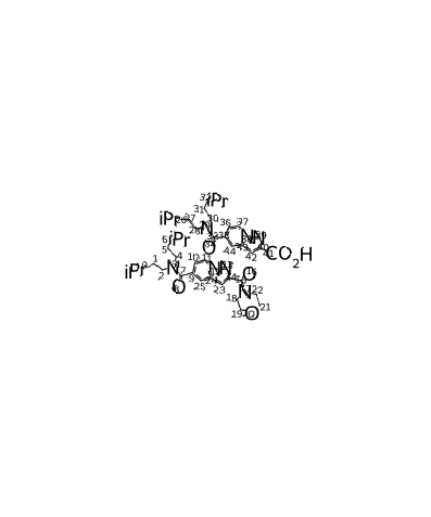 CC(C)CCN(CCC(C)C)C(=O)c1ccn2nc(C(=O)N3CCOCC3)cc2c1.CC(C)CCN(CCC(C)C)C(=O)c1ccn2nc(C(=O)O)cc2c1